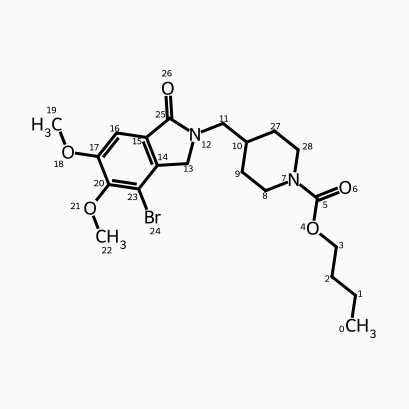 CCCCOC(=O)N1CCC(CN2Cc3c(cc(OC)c(OC)c3Br)C2=O)CC1